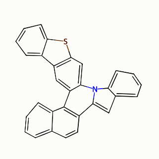 c1ccc2c(c1)ccc1c2c2cc3c(cc2n2c4ccccc4cc12)sc1ccccc13